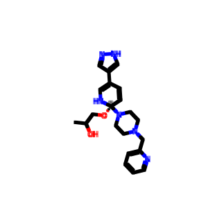 CC(O)CO[C@@]1(N2CCN(Cc3ccccn3)CC2)C=CC(c2cn[nH]c2)=CN1